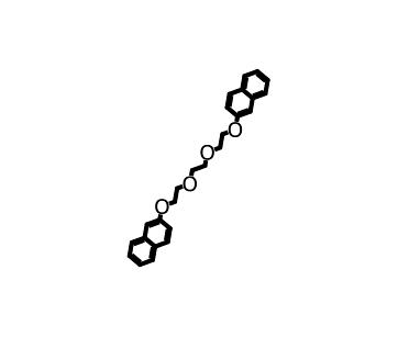 c1ccc2cc(OCCOCCOCCOc3ccc4ccccc4c3)ccc2c1